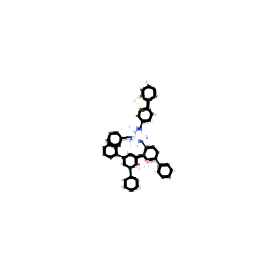 c1ccc(-c2cc(-c3ccccc3)c3oc4c(-c5ccccc5)ccc(-c5nc(-c6ccccc6)nc(-c6ccc7c(c6)sc6ccccc67)n5)c4c3c2)cc1